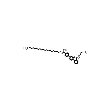 CCCCCCCCCCCCCCCCCCCCOC(C)c1ccc(-c2ccc(-c3ccccc3C(=O)OCCCC)cc2)cc1